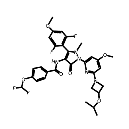 COc1cc(N2CC(OC(C)C)C2)nc(-n2c(=O)c(NC(=O)c3ccc(OC(F)F)cc3)c(-c3c(F)cc(OC)cc3F)n2C)c1